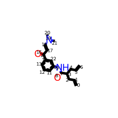 C=CCC(CC=C)C(=O)Nc1cccc(C(=O)/C=C/N(C)C)c1